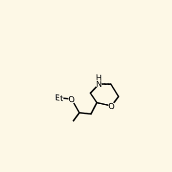 CCOC(C)CC1CNCCO1